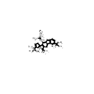 C[C](C)=[Zr+2][c]1c2c(cc(C(C)(C)C)c1C1=CC([Si](C)(C)C)=CC1)-c1cc(C(C)(C)C)ccc1C2.[Cl-].[Cl-]